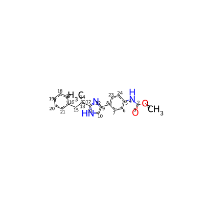 COC(=O)Nc1ccc(-c2c[nH]c([C@@H](C)Cc3ccccc3)n2)cc1